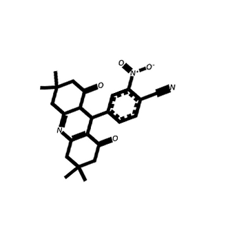 CC1(C)CC(=O)C2C(=NC3=C(C(=O)CC(C)(C)C3)C2c2ccc(C#N)c([N+](=O)[O-])c2)C1